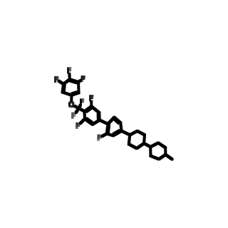 CC1CCC(C2CCC(c3ccc(-c4cc(F)c(C(F)(F)Oc5cc(F)c(F)c(F)c5)c(F)c4)c(F)c3)CC2)CC1